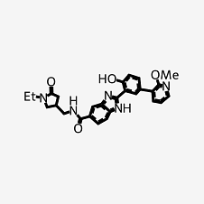 CCN1CC(CNC(=O)c2ccc3[nH]c(-c4cc(-c5cccnc5OC)ccc4O)nc3c2)CC1=O